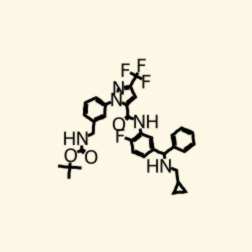 CC(C)(C)OC(=O)NCc1cccc(-n2nc(C(F)(F)F)cc2C(=O)Nc2cc(C(NCC3CC3)c3ccccc3)ccc2F)c1